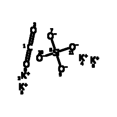 O=C=O.[K+].[K+].[K+].[K+].[O-][Si]([O-])([O-])[O-]